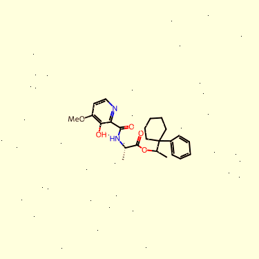 COc1ccnc(C(=O)N[C@@H](C)C(=O)OC(C)C2(c3ccccc3)CCCCC2)c1O